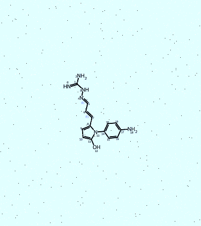 N=C(N)N/N=C/C=C/c1ccc(O)n1-c1ccc(N)cc1